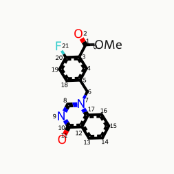 COC(=O)c1cc(Cn2cnc(=O)c3ccccc32)ccc1F